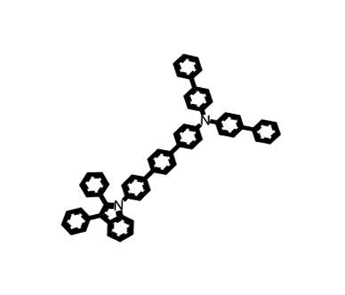 c1ccc(-c2ccc(N(c3ccc(-c4ccccc4)cc3)c3ccc(-c4ccc(-c5ccc(-n6c(-c7ccccc7)c(-c7ccccc7)c7ccccc76)cc5)cc4)cc3)cc2)cc1